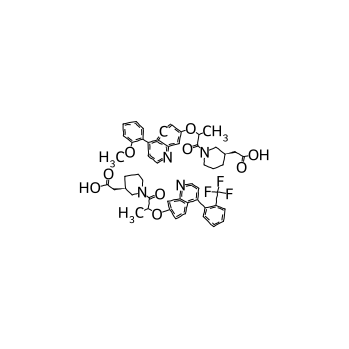 CC(Oc1ccc2c(-c3ccccc3C(F)(F)F)ccnc2c1)C(=O)N1CCC[C@H](CC(=O)O)C1.COc1ccccc1-c1ccnc2cc(OC(C)C(=O)N3CCC[C@H](CC(=O)O)C3)ccc12